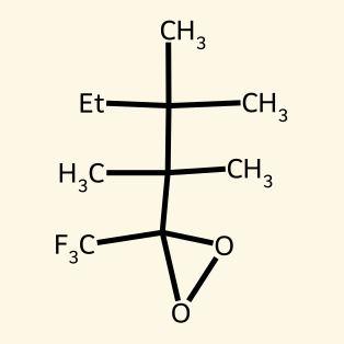 CCC(C)(C)C(C)(C)C1(C(F)(F)F)OO1